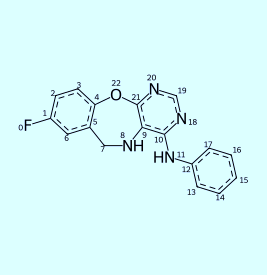 Fc1ccc2c(c1)CNc1c(Nc3ccccc3)ncnc1O2